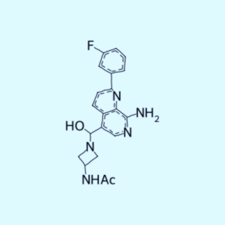 CC(=O)NC1CN(C(O)c2cnc(N)c3nc(-c4cccc(F)c4)ccc23)C1